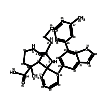 CCNC(=O)NC1(C2CNCCC2(C)C(=O)O)N=CC=CN1c1cc(-c2cc(C)ncn2)c2scnc2c1